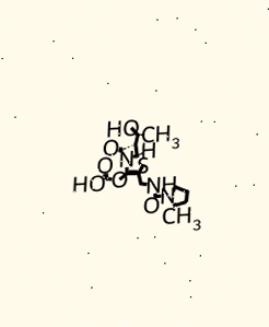 C[C@@H]1CCCN1C(=O)NCC1=C(OC(=O)O)N2C(=O)[C@H]([C@@H](C)O)[C@H]2S1